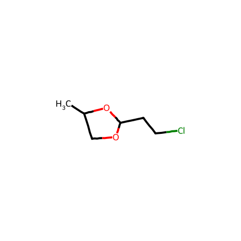 CC1COC(CCCl)O1